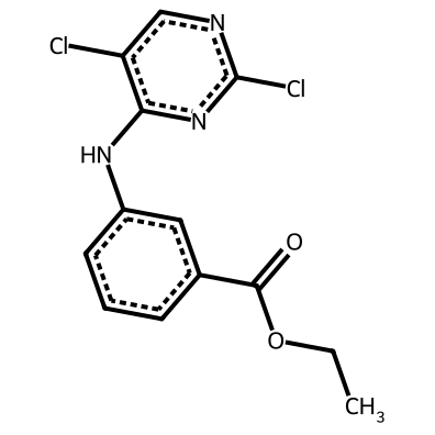 CCOC(=O)c1cccc(Nc2nc(Cl)ncc2Cl)c1